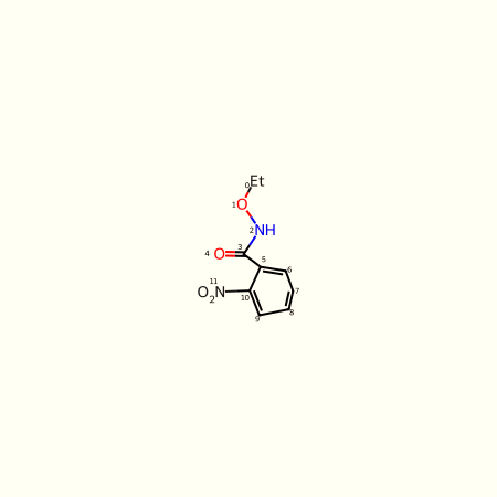 CCONC(=O)c1ccccc1[N+](=O)[O-]